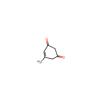 [CH2]C1=CC(=O)CC(=O)C1